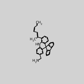 C=C/C=C\C=C(/C)c1cccc2c1Nc1ccc(CN)cc1C21c2ccccc2-c2ccccc21